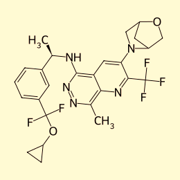 Cc1nnc(N[C@H](C)c2cccc(C(F)(F)OC3CC3)c2)c2cc(N3CC4CC3CO4)c(C(F)(F)F)nc12